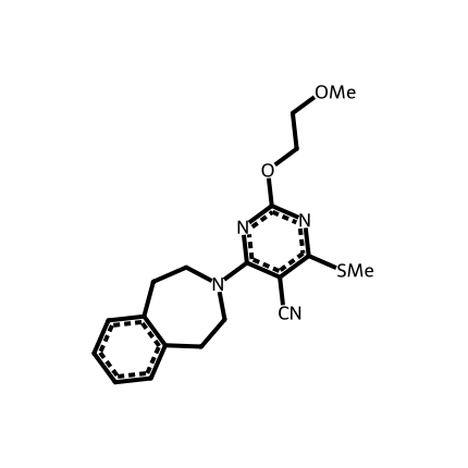 COCCOc1nc(SC)c(C#N)c(N2CCc3ccccc3CC2)n1